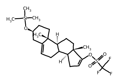 C[C@]12CC[C@H](O[Si](C)(C)C)CC1=CCC1[C@@H]2CC[C@]2(C)C(OS(=O)(=O)C(F)(F)F)=CC[C@@H]12